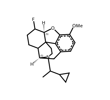 COc1ccc2c3c1O[C@@H]1C(F)CCC4[C@H](C2)N(C(C)C2CC2)CCC341